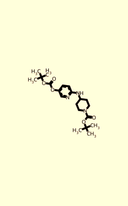 CC(C)(C)OC(=O)Oc1ccc(NC2CCN(C(=O)OC(C)(C)C)CC2)nc1